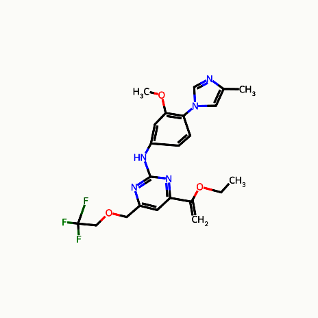 C=C(OCC)c1cc(COCC(F)(F)F)nc(Nc2ccc(-n3cnc(C)c3)c(OC)c2)n1